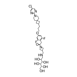 O=C(Cc1c(F)cc(OCCCC2CC3(CCN(c4ncc(Cl)cn4)CC3)C2)cc1F)N1CC(CNC[C@H](O)[C@@H](O)[C@H](O)[C@H](O)CO)C1